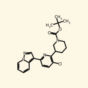 CC(C)(C)OC(=O)N1CCCC(c2nc(-c3cnn4ccccc34)ccc2Cl)C1